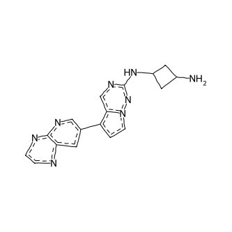 NC1CC(Nc2ncc3c(-c4cnc5nccnc5c4)ccn3n2)C1